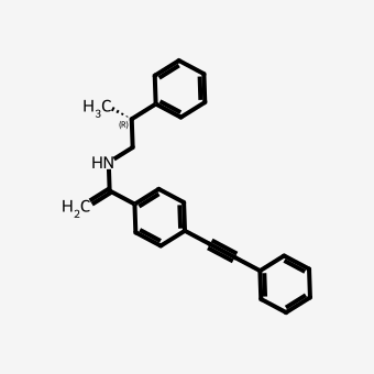 C=C(NC[C@H](C)c1ccccc1)c1ccc(C#Cc2ccccc2)cc1